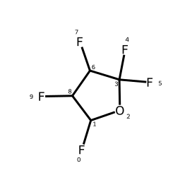 FC1OC(F)(F)C(F)C1F